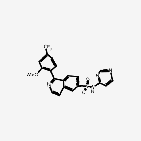 COc1cc(C(F)(F)F)ccc1-c1nccc2cc(S(=O)(=O)Nc3ccncn3)ccc12